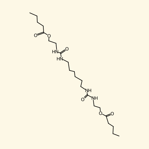 CCCCC(=O)OCCNC(=O)NCCCCCCNC(=O)NCCOC(=O)CCCC